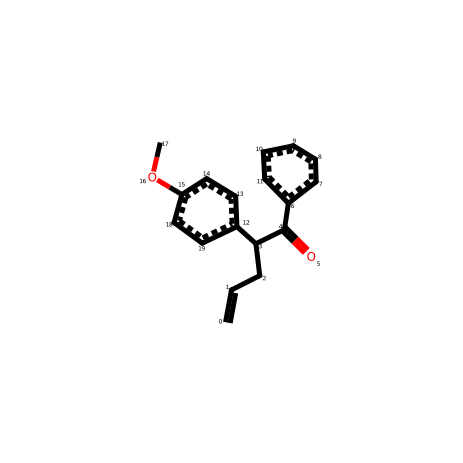 C=CCC(C(=O)c1ccccc1)c1ccc(OC)cc1